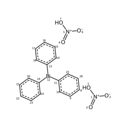 O=[N+]([O-])O.O=[N+]([O-])O.c1cc[c]([Bi]([c]2ccccc2)[c]2ccccc2)cc1